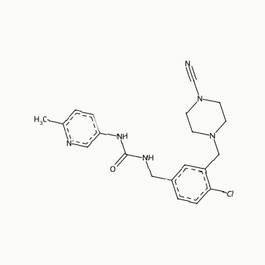 Cc1ccc(NC(=O)NCc2ccc(Cl)c(CN3CCN(C#N)CC3)c2)cn1